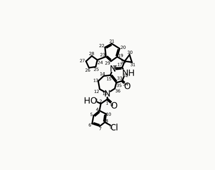 O=C(C(O)c1cccc(Cl)c1)N1CCCc2nc(C3(c4cccc(C5CCCC5)c4)CC3)[nH]c(=O)c2C1